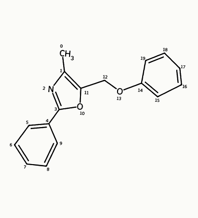 Cc1nc(-c2ccccc2)oc1COc1ccccc1